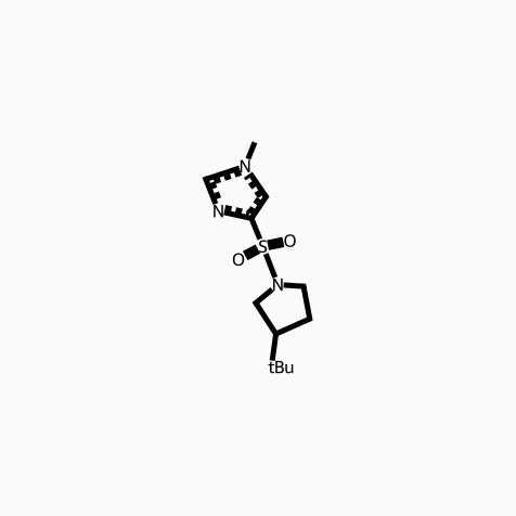 Cn1cnc(S(=O)(=O)N2CCC(C(C)(C)C)C2)c1